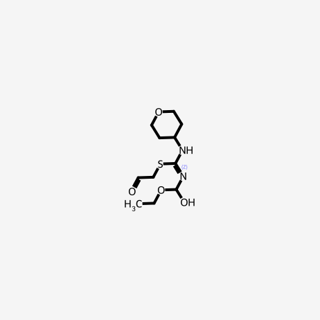 CCOC(O)/N=C(/NC1CCOCC1)SCC=O